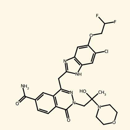 CC(O)(Cn1nc(Cc2nc3cc(OCC(F)F)c(Cl)cc3[nH]2)c2cc(C(N)=O)ccc2c1=O)N1CCOCC1